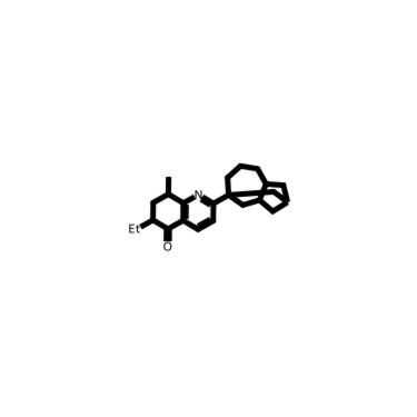 CCC1CC(C)c2nc(C34CCCC5CC(CC5C3)C4)ccc2C1=O